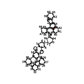 C1=CC(c2ccc3c(c2)Oc2cc4c(cc2O3)-c2ccccc2C42c3ccccc3-c3ccccc32)CC(N(c2ccccc2)c2ccccc2-c2cccc3c2sc2ccccc23)=C1